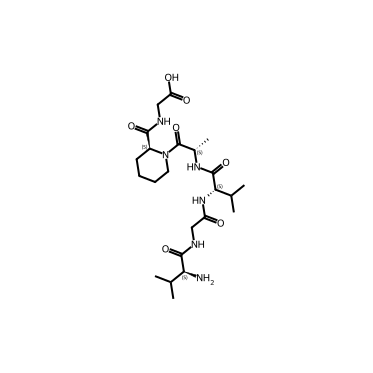 CC(C)[C@H](N)C(=O)NCC(=O)N[C@H](C(=O)N[C@@H](C)C(=O)N1CCCC[C@H]1C(=O)NCC(=O)O)C(C)C